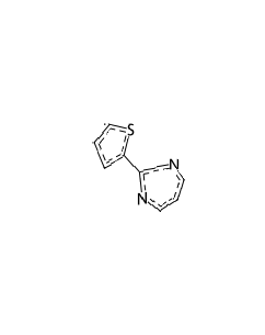 [c]1ccc(-c2ncccn2)s1